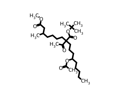 CCCCCC(CCCC(CCCCC(C)CC(=O)OC)(C(C)=O)C(=O)OC(C)(C)C)OC(C)=O